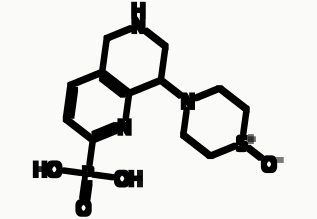 O=P(O)(O)c1ccc2c(n1)C(N1CC[S+]([O-])CC1)CNC2